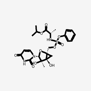 CC(C)OC(=O)[C@H](C)NP(=O)(OC[C@]12C[C@]1(O)[C@@](C)(O)[C@H](n1ccc(=O)[nH]c1=O)O2)Oc1ccccc1